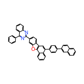 c1ccc(-c2nc(-c3ccc4c(c3)oc3c5ccccc5c(-c5ccc(-c6ccc7ccccc7c6)cc5)cc43)nc3ccccc23)cc1